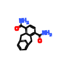 NC(=O)c1ccc(C(N)=O)c2c1Cc1cccc(c1)C2